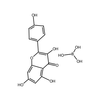 O=c1c(O)c(-c2ccc(O)cc2)oc2cc(O)cc(O)c12.OB(O)O